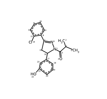 CC(C)C(=O)N1N=C(c2ccccc2Cl)CC1c1cccc(O)c1